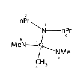 CCCN(CCC)[Si](C)(NC)NC